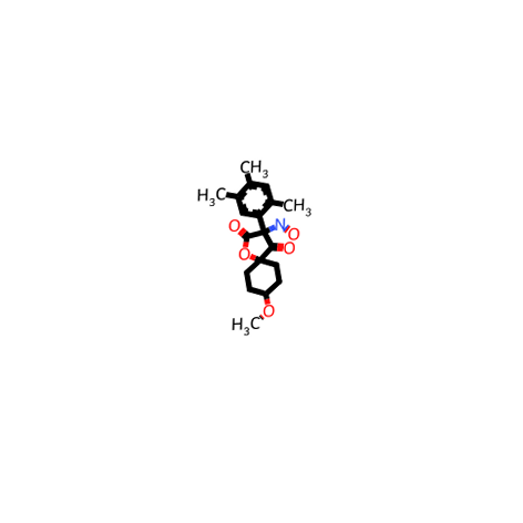 COC1CCC2(CC1)OC(=O)C(N=O)(c1cc(C)c(C)cc1C)C2=O